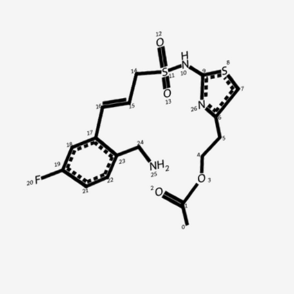 CC(=O)OCCc1csc(NS(=O)(=O)CC=Cc2cc(F)ccc2CN)n1